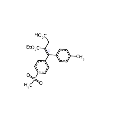 CCOC(=O)/C(CC(=O)O)=C(/c1ccc(C)cc1)c1ccc(S(C)(=O)=O)cc1